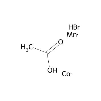 Br.CC(=O)O.[Co].[Mn]